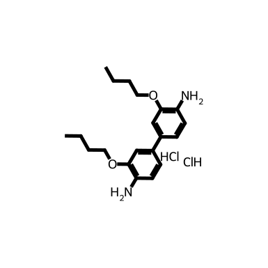 CCCCOc1cc(-c2ccc(N)c(OCCCC)c2)ccc1N.Cl.Cl